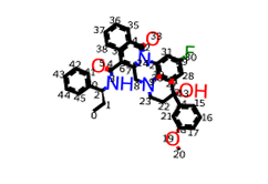 CC[C@H](NC(=O)c1c(CN2CCC(O)(c3cccc(OC)c3)CC2)n(-c2cccc(F)c2)c(=O)c2ccccc12)c1ccccc1